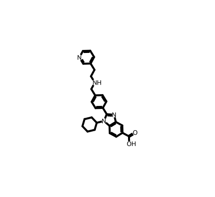 O=C(O)c1ccc2c(c1)nc(-c1ccc(CNCCc3cccnc3)cc1)n2C1CCCCC1